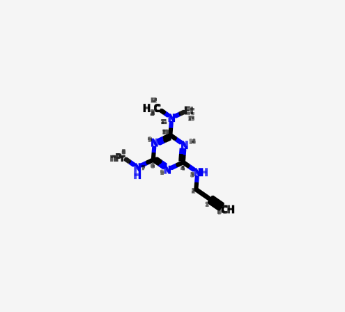 C#CCNc1nc(NCCC)nc(N(C)CC)n1